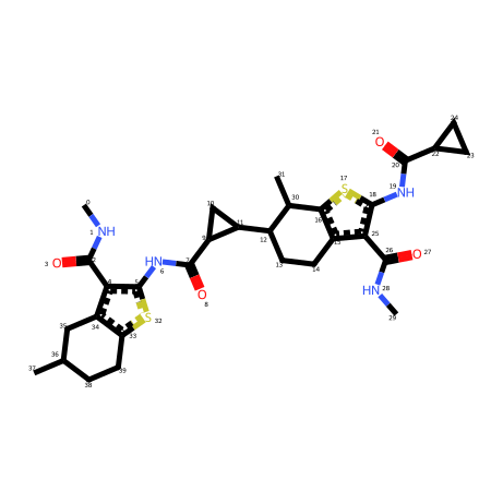 CNC(=O)c1c(NC(=O)C2CC2C2CCc3c(sc(NC(=O)C4CC4)c3C(=O)NC)C2C)sc2c1CC(C)CC2